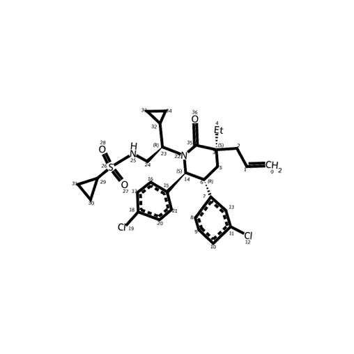 C=CC[C@@]1(CC)C[C@H](c2cccc(Cl)c2)[C@@H](c2ccc(Cl)cc2)N([C@@H](CNS(=O)(=O)C2CC2)C2CC2)C1=O